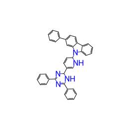 C1=CC(n2c3ccccc3c3ccc(-c4ccccc4)cc32)NC=C1C1N=C(c2ccccc2)N=C(c2ccccc2)N1